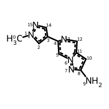 Cn1cc(-c2cn3nc(N)cc3cn2)cn1